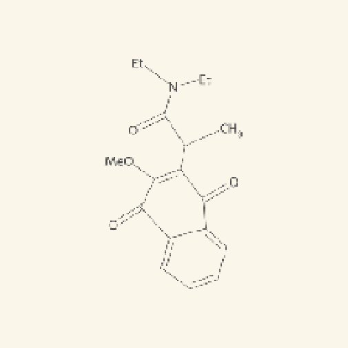 CCN(CC)C(=O)C(C)C1=C(OC)C(=O)c2ccccc2C1=O